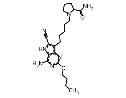 CCCCOc1nc(N)c2[nH]c(C#N)c(CCCCCN3CCCC3C(N)=O)c2n1